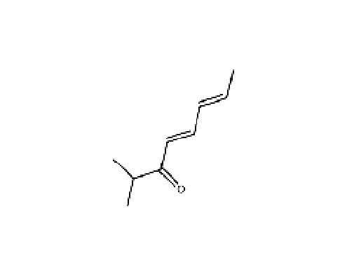 C/C=C/C=C/C(=O)C(C)C